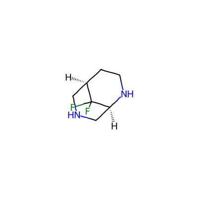 FC1(F)[C@@H]2CCN[C@H]1CNC2